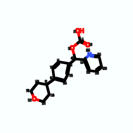 O=C(O)OC(c1ccc(C2CCOCC2)cc1)c1ccccn1